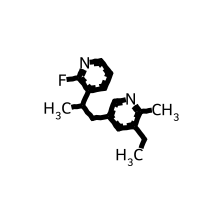 CCc1cc(CC(C)c2cccnc2F)cnc1C